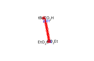 CCOC(=O)C(Cc1cnnn1CCOCCOCCOCCOCCOCCOCCOCCOCCOCCOCCOCCOCCC(=O)NCCCC[C@H](NC(=O)OC(C)(C)C)C(=O)O)C(=O)OCC